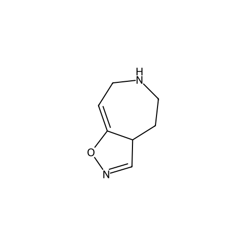 C1=NOC2=CCNCCC12